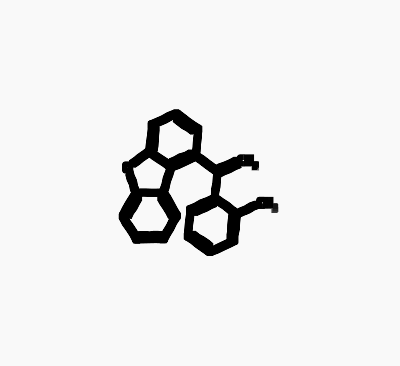 C=C(c1ccccc1C)c1cccc2oc3ccccc3c12